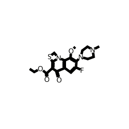 CCOC(=O)c1c2n(c3c(OC)c(N4CCN(C)CC4)c(F)cc3c1=O)CS2